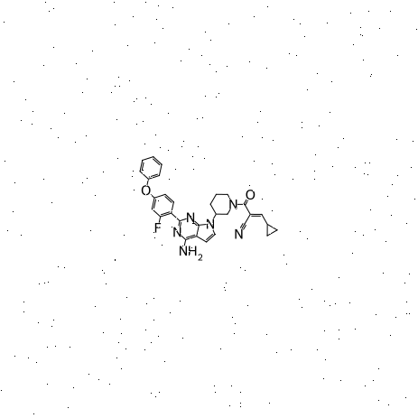 N#CC(=CC1CC1)C(=O)N1CCCC(n2ccc3c(N)nc(-c4ccc(Oc5ccccc5)cc4F)nc32)C1